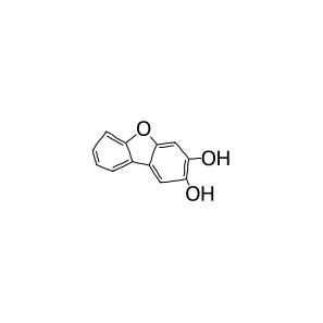 Oc1cc2oc3ccccc3c2cc1O